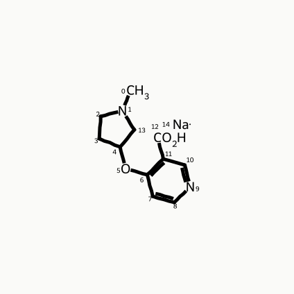 CN1CCC(Oc2ccncc2C(=O)O)C1.[Na]